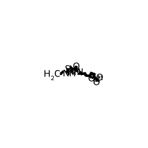 C=CCNc1nc(C(=O)N/N=C/C=C/c2ccc([N+](=O)[O-])o2)cs1